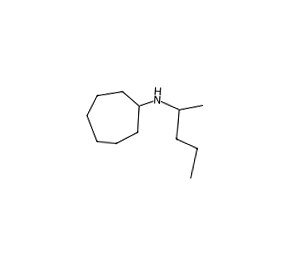 CCCC(C)NC1CCCCCC1